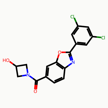 O=C(c1ccc2nc(-c3cc(Cl)cc(Cl)c3)oc2c1)N1CC(O)C1